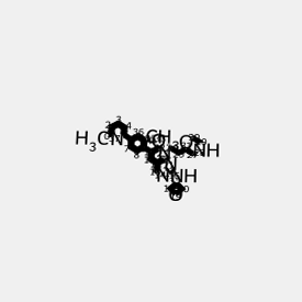 Cc1cccc(-c2ccc(-c3cc4cnc(NC5COC5)nc4n(CCC4CNCCO4)c3=O)c(C)c2)n1